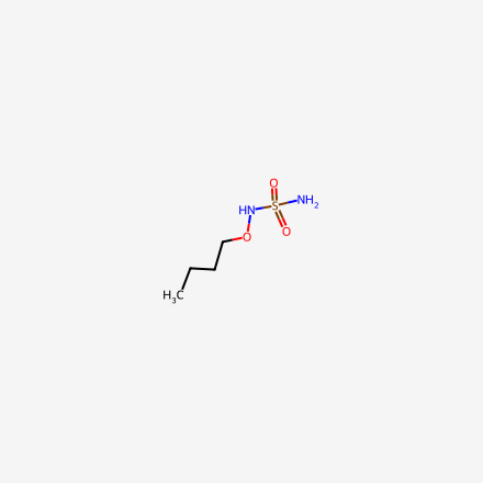 CCCCONS(N)(=O)=O